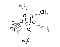 CCCCOCC1O[C@H](O[C@@H]2C3CO[C@H](O3)[C@@H]3OC23)C(OCCCC)[C@@H](OCCCC)[C@@H]1OCCCC